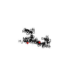 CCNc1nc2c(c(=O)[nH]1)[n+](C)cn2[C@@H]1O[C@H](COP(=O)(O)OP(=O)(O)OP(=O)(O)OCC2O[C@@H](n3cnc4c(N)ncnc43)[C@H](OC)[C@@H]2OP(=O)(O)OC[C@H]2O[C@@H](n3ccc(=O)[nH]c3=O)[C@H](O)[C@@H]2O)[C@@H](COC)[C@H]1O